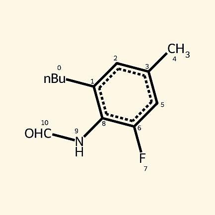 CCCCc1cc(C)cc(F)c1NC=O